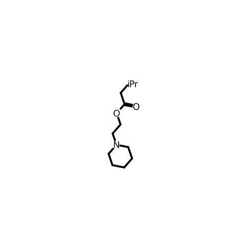 CC(C)CC(=O)OCCN1CCCCC1